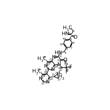 CCS(=N)(=O)c1ccc(CNc2nc3c(C)nc(-c4c(C)ncnc4C4CC4)nc3n([C@@H](C)C(F)(F)F)c2=O)cc1